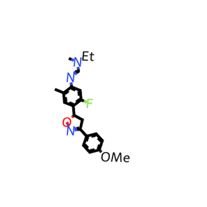 CCN(C)C=Nc1cc(F)c(C2CC(c3ccc(OC)cc3)=NO2)cc1C